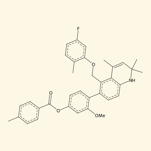 COc1cc(OC(=O)c2ccc(C)cc2)ccc1-c1ccc2c(c1COc1cc(F)ccc1C)C(C)=CC(C)(C)N2